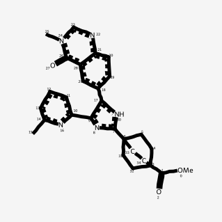 COC(=O)C12CCC(c3nc(-c4cccc(C)n4)c(-c4ccc5ncn(C)c(=O)c5c4)[nH]3)(CC1)CC2